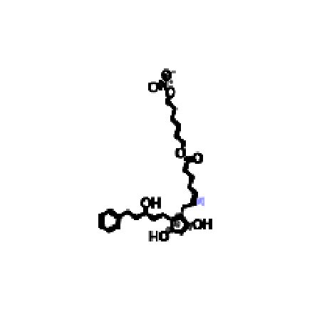 O=C(CCC/C=C\C[C@H]1[C@H](CCC(O)CCc2ccccc2)[C@@H](O)C[C@H]1O)OCCCCCCO[N+](=O)[O-]